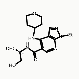 CCn1ncc2c(NC3CCOCC3)c(C(=O)N[C@H](C=O)CO)cnc21